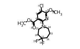 COC(=O)c1cc(Cl)c(OC)nc1N1CCCC(F)(F)CC1